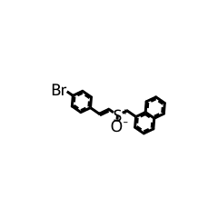 [O-][S+](C=Cc1ccc(Br)cc1)Cc1cccc2ccccc12